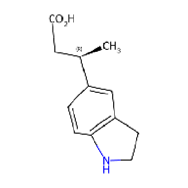 C[C@H](CC(=O)O)c1ccc2c(c1)CCN2